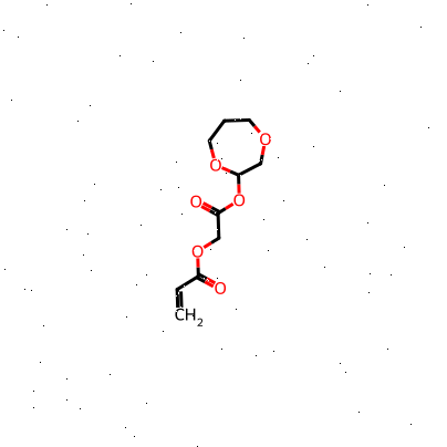 C=CC(=O)OCC(=O)OC1COCCCO1